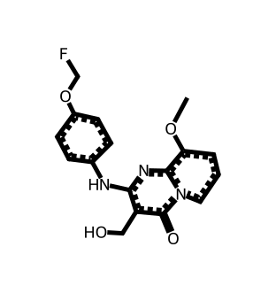 COc1cccn2c(=O)c(CO)c(Nc3ccc(OCF)cc3)nc12